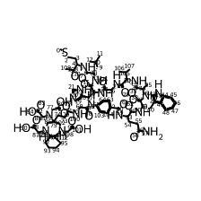 CSCCC(NC(=O)[C@H](CC(C)C)NC(=O)[C@H](Cc1cnc[nH]1)NC(=O)CNC(=O)[C@@H](NC(=O)C(C)NC(=O)[C@H](Cc1c[nH]c2ccccc12)NC(=O)C(CCC(N)=O)NC(=O)c1ccc(NC(=O)CNC(=O)CCC2(N(CC(=O)O)CC(=O)O)CN(CC(=O)O)[C@@H]3CCCC[C@H]3N(CC(=O)O)C2)cc1)C(C)C)C(C)=O